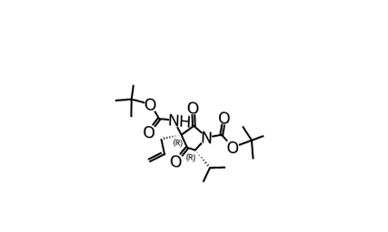 C=CC[C@@]1(NC(=O)OC(C)(C)C)C(=O)[C@@H](C(C)C)N(C(=O)OC(C)(C)C)C1=O